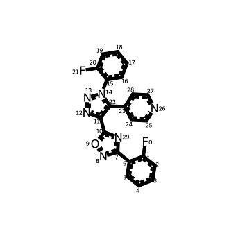 Fc1ccccc1-c1noc(-c2nnn(-c3ccccc3F)c2-c2ccncc2)n1